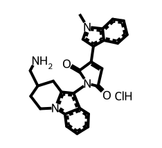 Cl.Cn1cc(C2=CC(=O)N(c3c4n(c5ccccc35)CCC(CN)C4)C2=O)c2ccccc21